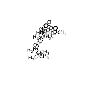 Cc1cc(C)c2cccc(OCc3c(Cl)ccc(S(=O)(=O)NC(C)(C)C(=O)N4CCN(C(=O)CC(N)CCC(C)N(C)C)CC4)c3Cl)c2n1